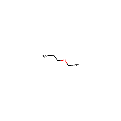 CCCCOCC[SiH3]